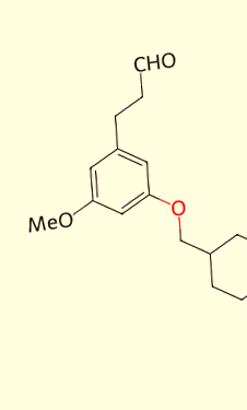 COc1cc(CCC=O)cc(OCC2CCCCC2)c1